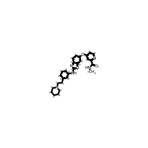 CNC(=O)c1cc(Oc2ccc3nc(Nc4cccc(CCN5CCCCC5)c4)oc3c2)ccn1